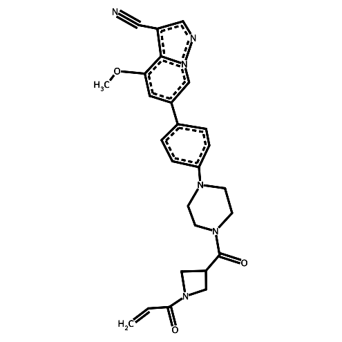 C=CC(=O)N1CC(C(=O)N2CCN(c3ccc(-c4cc(OC)c5c(C#N)cnn5c4)cc3)CC2)C1